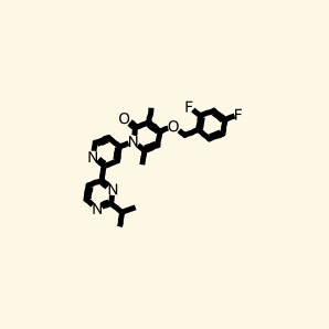 Cc1c(OCc2ccc(F)cc2F)cc(C)n(-c2ccnc(-c3ccnc(C(C)C)n3)c2)c1=O